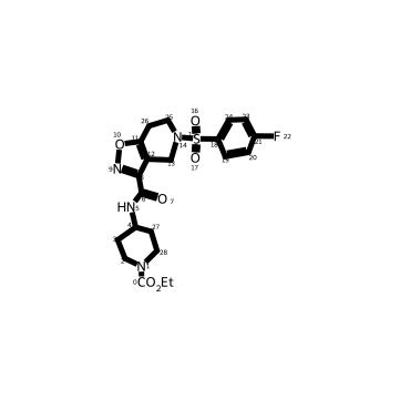 CCOC(=O)N1CCC(NC(=O)c2noc3c2CN(S(=O)(=O)c2ccc(F)cc2)CC3)CC1